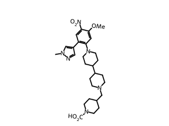 COc1cc(N2CCC(C3CCN(CC4CCN(C(=O)O)CC4)CC3)CC2)c(-c2cnn(C)c2)cc1[N+](=O)[O-]